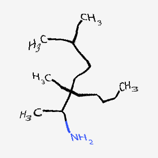 CCC(C)(CC(C)C)C(C)N